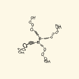 OOOOC#CB(C#COOOO)B(C#COOOO)C#COOOO